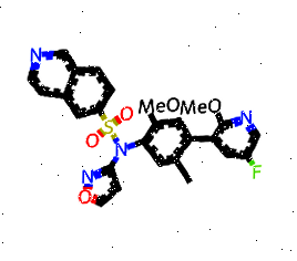 COc1cc(-c2cc(F)cnc2OC)c(C)cc1N(c1ccon1)S(=O)(=O)c1ccc2cnccc2c1